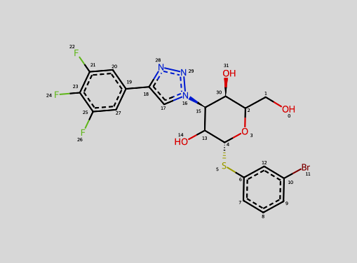 OCC1O[C@H](Sc2cccc(Br)c2)C(O)[C@@H](n2cc(-c3cc(F)c(F)c(F)c3)nn2)[C@H]1O